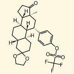 C[C@]12C[C@H](c3ccc(OS(=O)(=O)C(F)(F)F)cc3)[C@H]3[C@@H](CC[C@H]4CC5(CC[C@@H]43)OCCO5)[C@@H]1CCC2=O